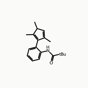 CC1=CC(C)C(C)=C1c1ccccc1NC(=O)C(C)(C)C